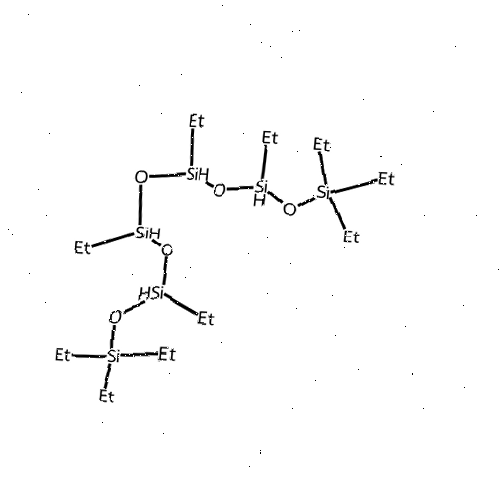 CC[SiH](O[SiH](CC)O[SiH](CC)O[Si](CC)(CC)CC)O[SiH](CC)O[Si](CC)(CC)CC